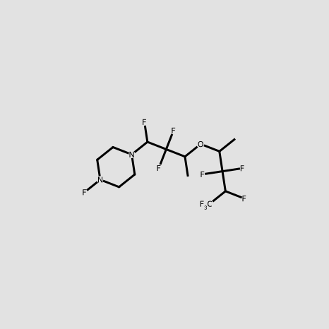 CC(OC(C)C(F)(F)C(F)C(F)(F)F)C(F)(F)C(F)N1CCN(F)CC1